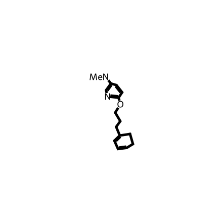 CNc1ccc(OCCCC2=CC=CCC2)nc1